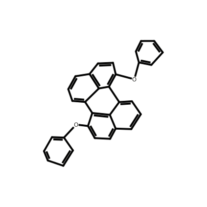 c1ccc(Oc2ccc3cccc4c5c(Oc6ccccc6)ccc6cccc(c2c34)c65)cc1